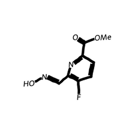 COC(=O)c1ccc(F)c(/C=N/O)n1